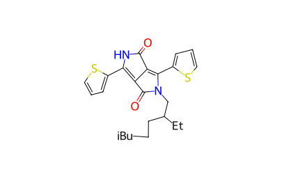 CCC(C)CCC(CC)CN1C(=O)C2=C(c3cccs3)NC(=O)C2=C1c1cccs1